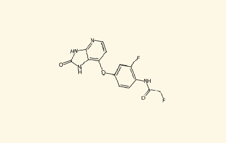 O=C(CF)Nc1ccc(Oc2ccnc3[nH]c(=O)[nH]c23)cc1F